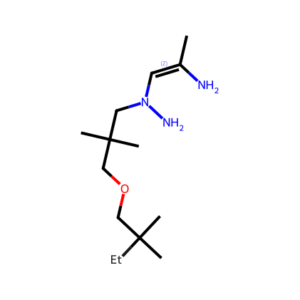 CCC(C)(C)COCC(C)(C)CN(N)/C=C(/C)N